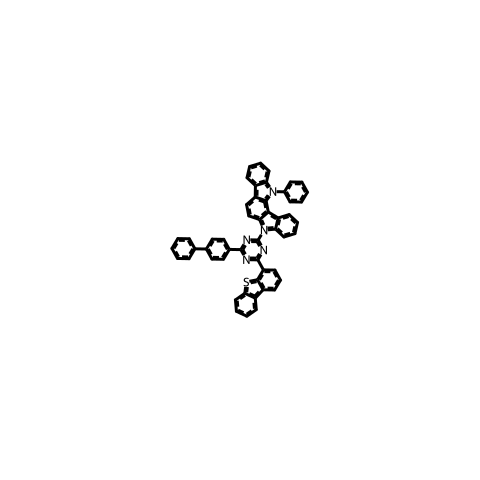 c1ccc(-c2ccc(-c3nc(-c4cccc5c4sc4ccccc45)nc(-n4c5ccccc5c5c4ccc4c6ccccc6n(-c6ccccc6)c45)n3)cc2)cc1